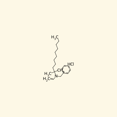 C=CN(Cc1ccccc1)C(C)(C)CCCCCCCCC.Cl